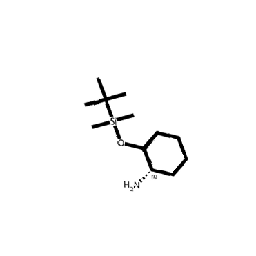 CC(C)(C)[Si](C)(C)OC1CCCC[C@@H]1N